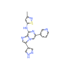 Cc1cc(Nc2nc(-c3cccnc3)cn3c(-c4cn[nH]c4)cnc23)sn1